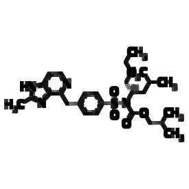 CCOC[C@H](CC(C)C)N(C(=O)OCC(C)C)S(=O)(=O)c1ccc(Cc2nccc3[nH]c(C)nc23)cc1